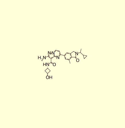 Cc1cc(-c2ccn3nc(N)c(C(=O)N[C@H]4C[C@H](O)C4)c3n2)cc2c1C(=O)N(C(C)C1CC1)C2